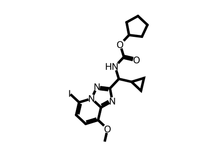 COc1ccc(I)n2nc(C(NC(=O)OC3CCCC3)C3CC3)nc12